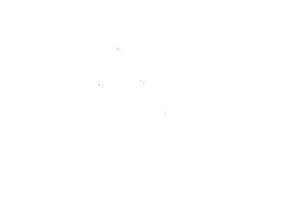 Cc1cc(C(C)Nc2cccc(S(C)(=O)=O)c2)c2nc(N3CCOCC3)n(C)c(=O)c2c1